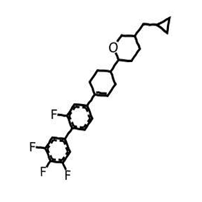 Fc1cc(C2=CCC(C3CCC(CC4CC4)CO3)CC2)ccc1-c1cc(F)c(F)c(F)c1